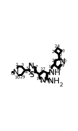 CN1CCC(c2ncc(-c3cnc(N)c(NCc4ccnc(C5CCC5)c4)c3)s2)CC1